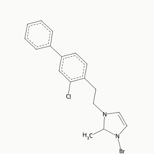 CC1N(Br)C=CN1CCc1ccc(-c2ccccc2)cc1Cl